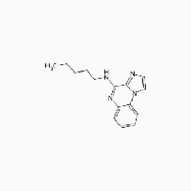 CCCCCNc1nc2ccccc2n2ccnc12